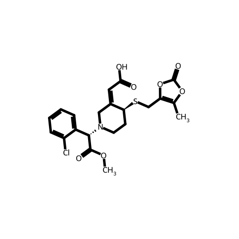 COC(=O)[C@H](c1ccccc1Cl)N1CC[C@H](SCc2oc(=O)oc2C)/C(=C\C(=O)O)C1